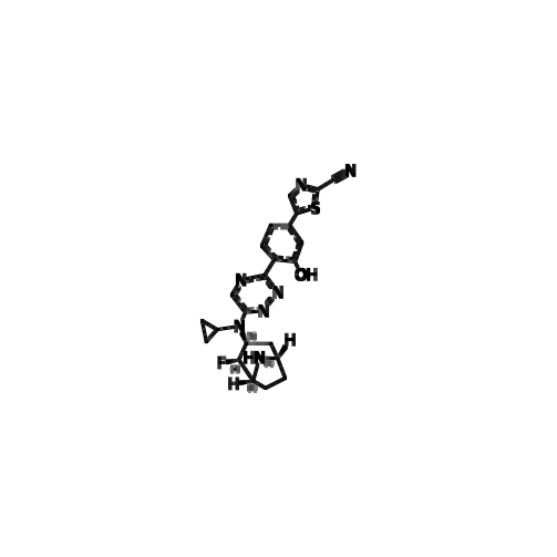 N#Cc1ncc(-c2ccc(-c3ncc(N(C4CC4)[C@H]4C[C@@H]5CC[C@@H](N5)[C@H]4F)nn3)c(O)c2)s1